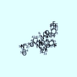 CCN1C(=O)[C@H](NC(=O)c2cccc(C(F)(F)F)c2)[C@H](c2ccc(F)cc2)c2c(C(=O)N3CCC[C@H]3C#N)nn(-c3cccc(OCCCN(C)C4COC4)c3)c21